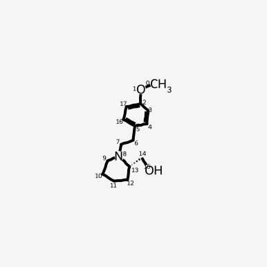 COc1ccc(CCN2CCCC[C@H]2CO)cc1